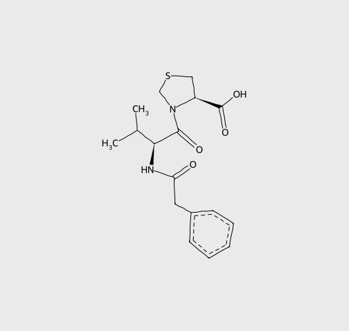 CC(C)[C@H](NC(=O)Cc1ccccc1)C(=O)N1CSC[C@H]1C(=O)O